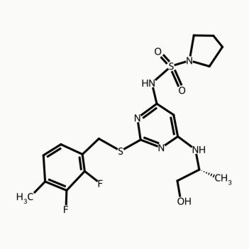 Cc1ccc(CSc2nc(N[C@H](C)CO)cc(NS(=O)(=O)N3CCCC3)n2)c(F)c1F